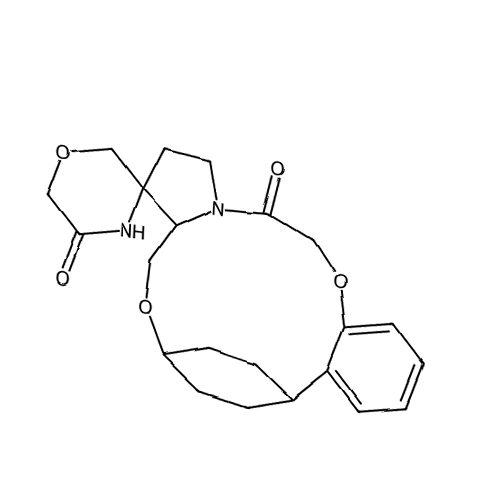 O=C1COCC2(CCN3C(=O)COc4ccccc4C4CCC(CC4)OCC32)N1